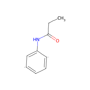 CCC(=O)Nc1[c]cc[c]c1